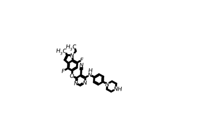 CCn1c(C)cc2c(F)c(Oc3ncnc(Nc4ccc(N5CCNCC5)cc4)c3C#N)cc(F)c21